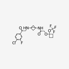 O=C(COC1(OC(F)(F)F)CCC1)NC12CC(NCC(=O)c3ccc(Cl)c(F)c3)(C1)C2